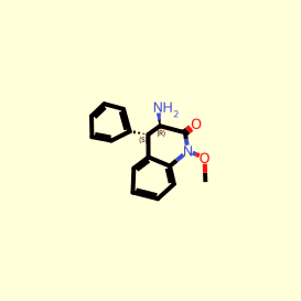 CON1C(=O)[C@H](N)[C@@H](c2ccccc2)c2ccccc21